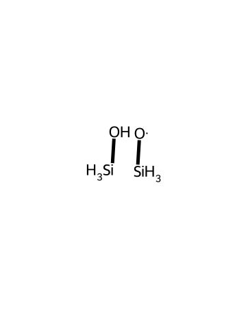 O[SiH3].[O][SiH3]